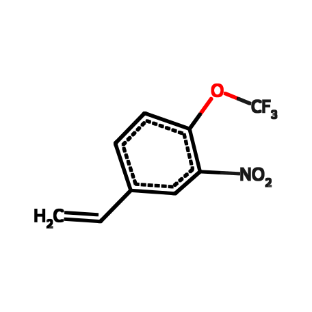 C=Cc1ccc(OC(F)(F)F)c([N+](=O)[O-])c1